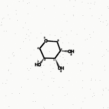 O[C@@H]1[C@H](O)[CH]OC[C@@H]1O